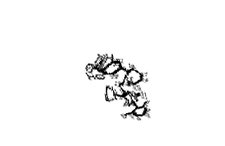 Cc1cccc(C)c1-c1nc(Cl)c(CN2CCCCC2c2ccc(C(N)=O)c(O)c2)n1C